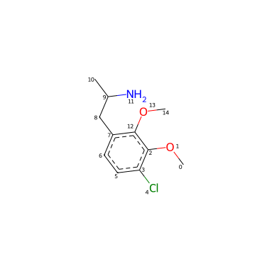 COc1c(Cl)ccc(CC(C)N)c1OC